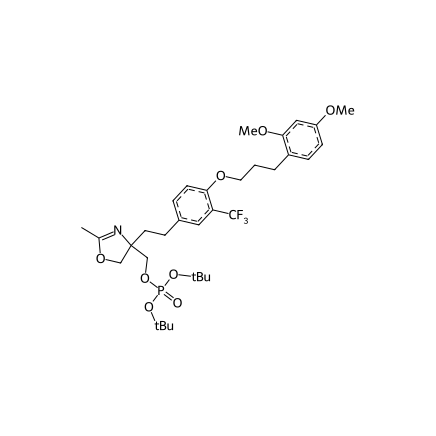 COc1ccc(CCCOc2ccc(CCC3(COP(=O)(OC(C)(C)C)OC(C)(C)C)COC(C)=N3)cc2C(F)(F)F)c(OC)c1